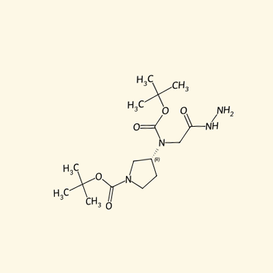 CC(C)(C)OC(=O)N1CC[C@@H](N(CC(=O)NN)C(=O)OC(C)(C)C)C1